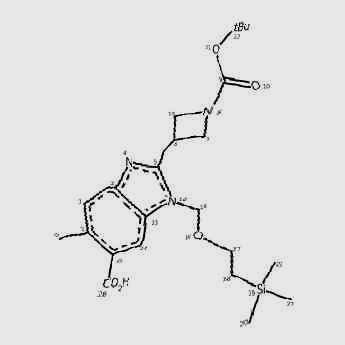 Cc1cc2nc(C3CN(C(=O)OC(C)(C)C)C3)n(COCC[Si](C)(C)C)c2cc1C(=O)O